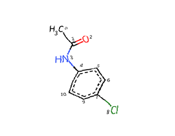 CC(=O)Nc1ccc(Cl)cc1